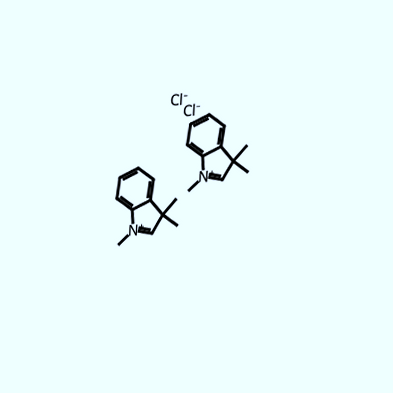 C[N+]1=CC(C)(C)c2ccccc21.C[N+]1=CC(C)(C)c2ccccc21.[Cl-].[Cl-]